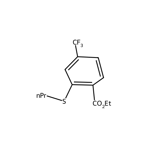 CCCSc1cc(C(F)(F)F)ccc1C(=O)OCC